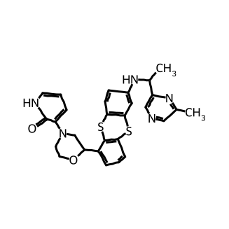 Cc1cncc(C(C)Nc2ccc3c(c2)Sc2cccc(C4CN(c5ccc[nH]c5=O)CCO4)c2S3)n1